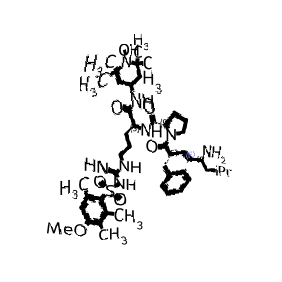 COc1cc(C)c(S(=O)(=O)NC(=N)NCCC[C@H](NC(=O)[C@@H]2CCCN2C(=O)[C@H](/C=C/[C@@H](N)CC(C)C)Cc2ccccc2)C(=O)NC2CC(C)(C)N(O)C(C)(C)C2)c(C)c1C